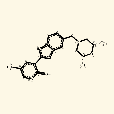 C[C@@H]1CN(Cc2ccc3[nH]c(-c4cc(N)c[nH]c4=O)cc3c2)C[C@H](C)O1